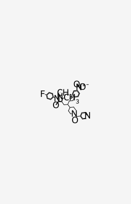 Cc1c(CC(CCc2ccc([N+](=O)[O-])cc2)C2CCN(C(=O)c3ccncc3)CC2)c(=O)n(-c2ccc(F)cc2)n1C